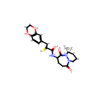 O=C(NC1CCC(=O)N2CCC[C@@H](C(=O)O)N2C1=O)C(=S)Cc1ccc2c(c1)OCCO2